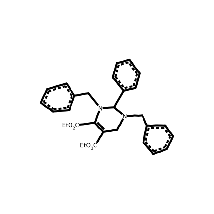 CCOC(=O)C1=C(C(=O)OCC)N(Cc2ccccc2)C(c2ccccc2)N(Cc2ccccc2)C1